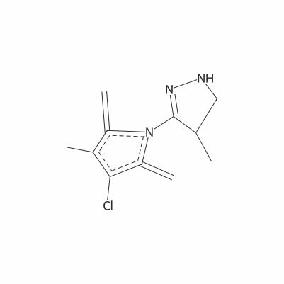 C=c1c(C)c(Cl)c(=C)n1C1=NNCC1C